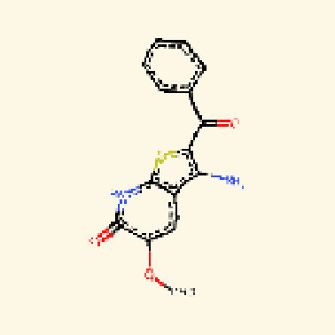 Nc1c(C(=O)c2ccccc2)sc2[nH]c(=O)c(OC=O)cc12